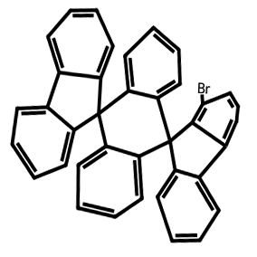 Brc1cccc2c1C1(c3ccccc3-2)c2ccccc2C2(c3ccccc3-c3ccccc32)c2ccccc21